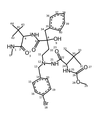 CNC(=O)C(NC(=O)C(O)(CCN(Cc1ccc(Br)cc1)NC(=O)C(NC(=O)OC)C(C)(C)C)Cc1ccccc1)C(C)(C)C